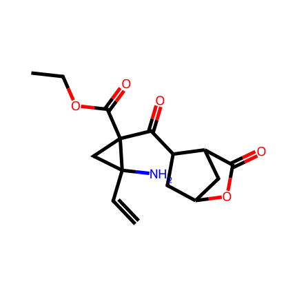 C=CC1(N)CC1(C(=O)OCC)C(=O)C1CC2CC1C(=O)O2